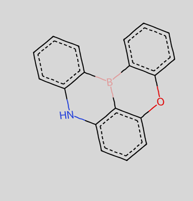 c1ccc2c(c1)Nc1cccc3c1B2c1ccccc1O3